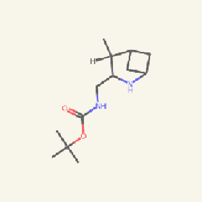 C[C@@H]1C2CC(C2)NC1CNC(=O)OC(C)(C)C